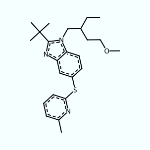 CCC(CCOC)Cn1c(C(C)(C)C)nc2cc(Sc3cccc(C)n3)ccc21